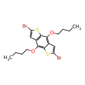 CCCCOc1c2cc(Br)sc2c(OCCCC)c2cc(Br)sc12